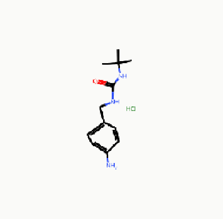 CC(C)(C)NC(=O)NCc1ccc(N)cc1.Cl